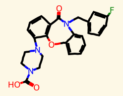 O=C(O)N1CCN(c2cccc3c2Oc2ccccc2N(Cc2cccc(F)c2)C3=O)CC1